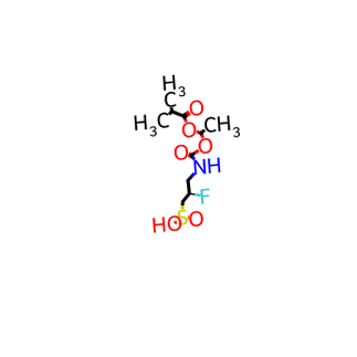 CC(OC(=O)NC[C@@H](F)CS(=O)O)OC(=O)C(C)C